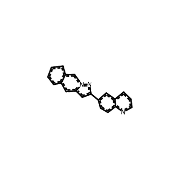 c1ccc2cn3nc(-c4ccc5ncccc5c4)cc3cc2c1